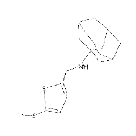 CSc1ccc(CNC23CC4CC(CC(C4)C2)C3)s1